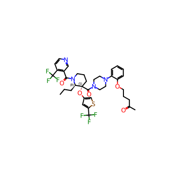 CCC[C@H]1N(C(=O)c2cnccc2C(F)(F)F)CCC[C@@]1(Oc1csc(C(F)(F)F)c1)C(=O)N1CCN(c2ccccc2OCCCC(C)=O)CC1